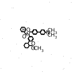 COC(=O)C1CCCCC1c1cccc(N(C(=O)C2CCCCC2)C(O)c2ccc(-c3ccc(N(C)C)cc3)cc2)c1